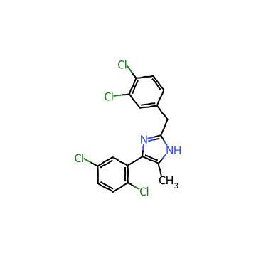 Cc1[nH]c(Cc2ccc(Cl)c(Cl)c2)nc1-c1cc(Cl)ccc1Cl